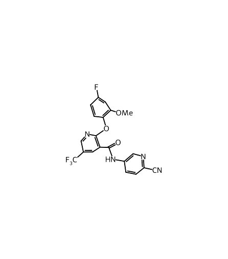 COc1cc(F)ccc1Oc1ncc(C(F)(F)F)cc1C(=O)Nc1ccc(C#N)nc1